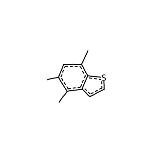 Cc1cc(C)c2sccc2c1C